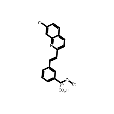 CCO[C@H](C(=O)O)c1cccc(C=Cc2ccc3ccc(Cl)cc3n2)c1